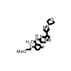 COCCOC1=CCC(F)C=C1C(C)Nc1ccn2ncc(-c3cnn(C4CCOCC4)c3)c2n1